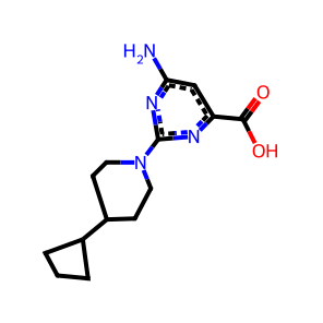 Nc1cc(C(=O)O)nc(N2CCC(C3CCC3)CC2)n1